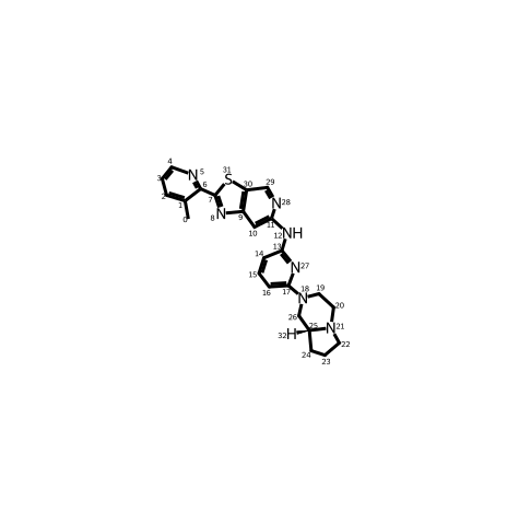 Cc1cccnc1-c1nc2cc(Nc3cccc(N4CCN5CCC[C@@H]5C4)n3)ncc2s1